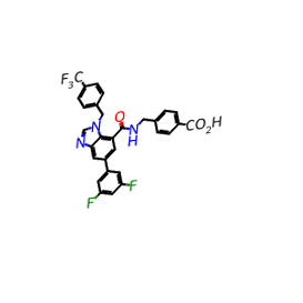 O=C(O)c1ccc(CNC(=O)c2cc(-c3cc(F)cc(F)c3)cc3ncn(Cc4ccc(C(F)(F)F)cc4)c23)cc1